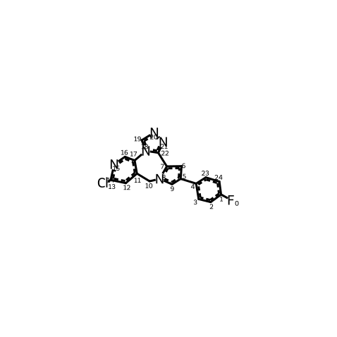 Fc1ccc(-c2cc3n(c2)Cc2cc(Cl)ncc2-n2cnnc2-3)cc1